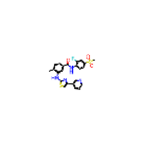 Cc1ccc(C(=O)Nc2ccc(S(C)(=O)=O)cc2F)cc1Nc1nc(-c2cccnc2)cs1